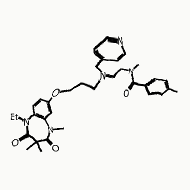 CCN1C(=O)C(C)(C)C(=O)N(C)c2cc(OCCCN(CCN(C)C(=O)c3ccc(C)cc3)Cc3ccncc3)ccc21